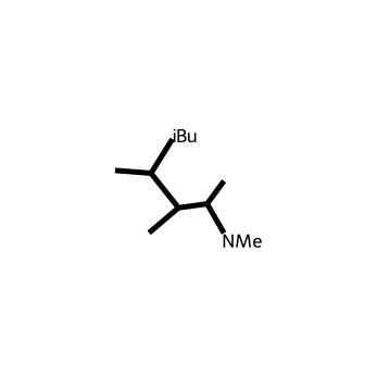 CCC(C)C(C)C(C)C(C)NC